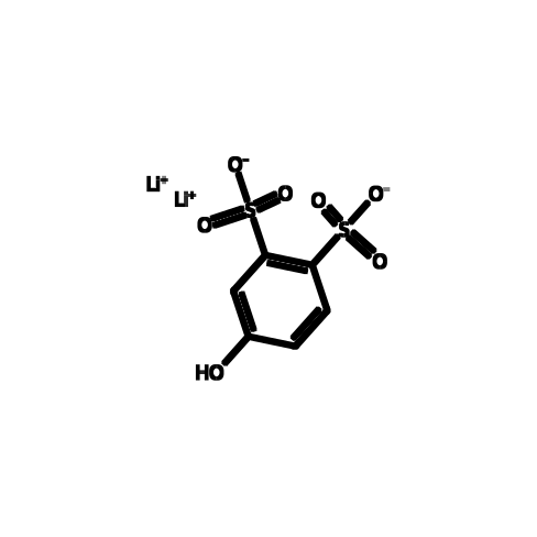 O=S(=O)([O-])c1ccc(O)cc1S(=O)(=O)[O-].[Li+].[Li+]